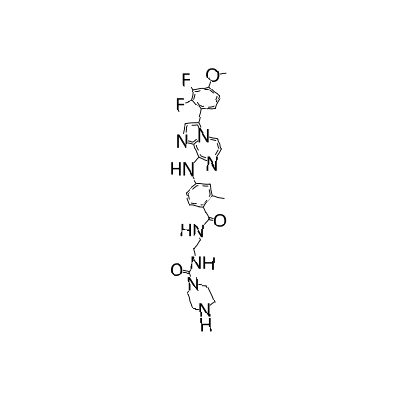 COc1ccc(-c2cnc3c(Nc4ccc(C(=O)NCCNC(=O)N5CCNCC5)c(C)c4)nccn23)c(F)c1F